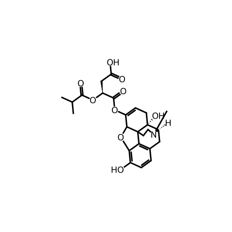 CC(C)C(=O)O[C@@H](CC(=O)O)C(=O)OC1=CC[C@@]2(O)[C@H]3Cc4ccc(O)c5c4C2(CCN3C)C1O5